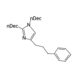 CCCCCCCCCCc1nc(CCCc2ccccc2)cn1CCCCCCCCCC